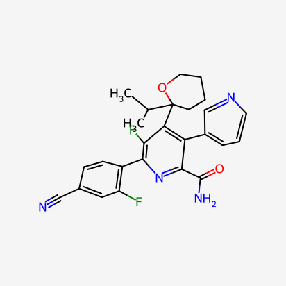 CC(C)C1(c2c(F)c(-c3ccc(C#N)cc3F)nc(C(N)=O)c2-c2cccnc2)CCCCO1